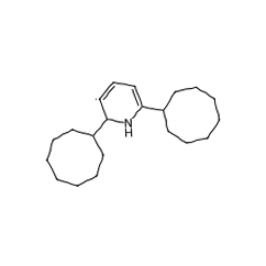 [C]1=CC=C(C2CCCCCCC2)NC1C1CCCCCCC1